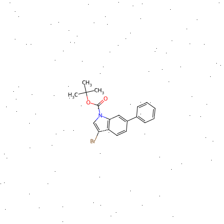 CC(C)(C)OC(=O)n1cc(Br)c2ccc(-c3ccccc3)cc21